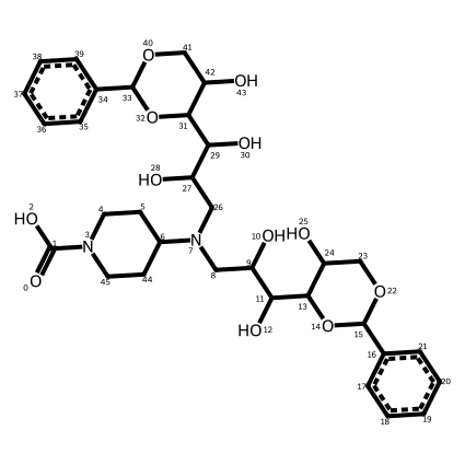 O=C(O)N1CCC(N(CC(O)C(O)C2OC(c3ccccc3)OCC2O)CC(O)C(O)C2OC(c3ccccc3)OCC2O)CC1